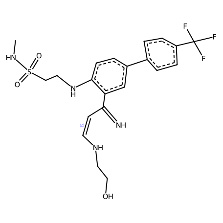 CNS(=O)(=O)CCNc1ccc(-c2ccc(C(F)(F)F)cc2)cc1C(=N)/C=C\NCCO